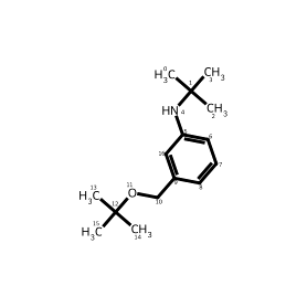 CC(C)(C)Nc1cccc(COC(C)(C)C)c1